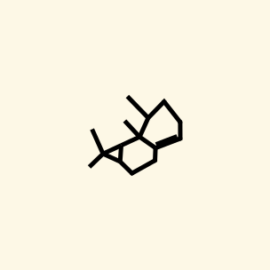 CC1CCC=C2CCC3C(C3(C)C)C21C